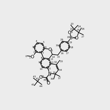 COc1cccc2c1-c1ccc3c(c1C(Cc1ccc(B4OC(C)(C)C(C)(C)O4)cc1)O2)C(C)=CC(C)(C)N3C(=O)OC(C)(C)C